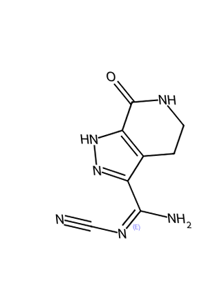 N#C/N=C(/N)c1n[nH]c2c1CCNC2=O